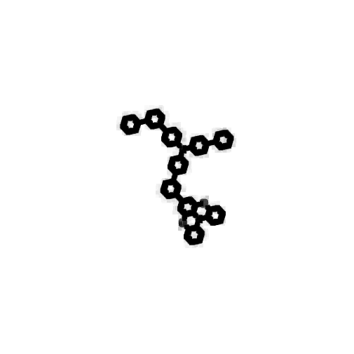 c1ccc(-c2ccc(N(c3ccc(-c4cccc(-c5ccccc5)c4)cc3)c3ccc(-c4cccc(-c5cc6c7c(c5)Oc5ccccc5N7c5ccccc5O6)c4)cc3)cc2)cc1